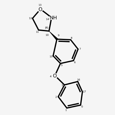 c1ccc(Oc2cccc([C@H]3CCON3)c2)cc1